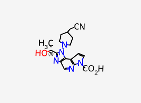 C[C@@H](O)c1nc2cnc3c(ccn3C(=O)O)c2n1N1CCC(CC#N)CC1